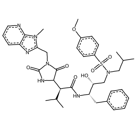 COc1ccc(S(=O)(=O)N(CC(C)C)C[C@@H](O)[C@H](Cc2ccccc2)NC(=O)[C@@H](C(C)C)C2NC(=O)N(Cc3nc4cccnc4n3C)C2=O)cc1